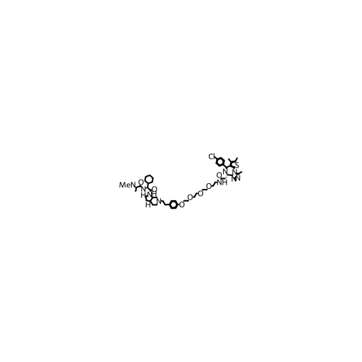 CN[C@@H](C)C(=O)N[C@H](C(=O)N1CC[C@H]2CCN(CCc3ccc(OCCOCCOCCOCCNC(=O)C[C@@H]4N=C(c5ccc(Cl)cc5)c5c(sc(C)c5C)-n5c(C)nnc54)cc3)C[C@H]21)C1CCCCC1